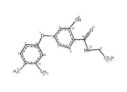 Cc1ccc(Oc2cnc(C(=O)NCC(=O)O)c(O)c2)cc1C